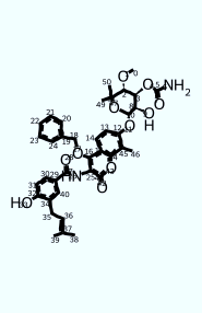 CO[C@@H]1[C@@H](OC(N)=O)[C@@H](O)[C@H](Oc2ccc3c(OCc4ccccc4)c(NC(=O)c4ccc(O)c(CC=C(C)C)c4)c(=O)oc3c2C)OC1(C)C